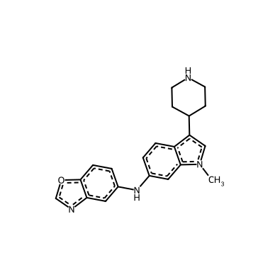 Cn1cc(C2CCNCC2)c2ccc(Nc3ccc4ocnc4c3)cc21